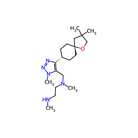 CNCCN(C)Cc1c([C@H]2CC[C@@]3(CC2)CC(C)(C)CO3)nnn1C